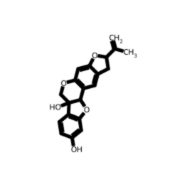 C=C(C)C1Cc2cc3c(cc2O1)OCC1(O)c2ccc(O)cc2OC31